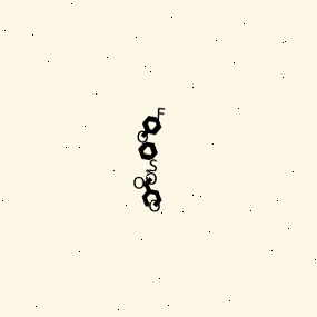 O=C(OCSc1ccc(Oc2ccc(F)cc2)cc1)C1CCOCC1